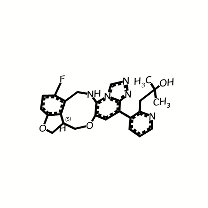 CC(C)(O)Cc1ncccc1-c1cc2c(n3cnnc13)NCc1c(F)ccc3c1[C@@H](CO3)CO2